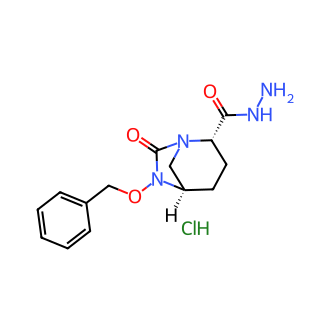 Cl.NNC(=O)[C@@H]1CC[C@@H]2CN1C(=O)N2OCc1ccccc1